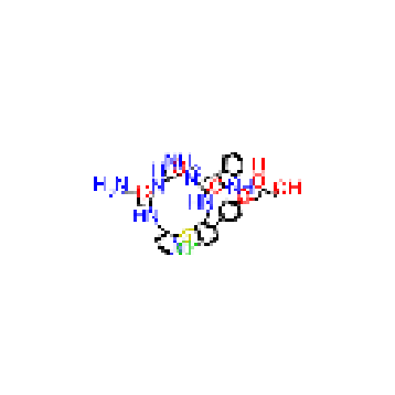 CN1C(=O)[C@H](CN)NC(=O)[C@H](CCCN)NCc2cccnc2Sc2c(Cl)ccc(-c3ccc(OCC(O)CO)cc3)c2CNC(=O)[C@@H]1Cc1c[nH]c2ccccc12